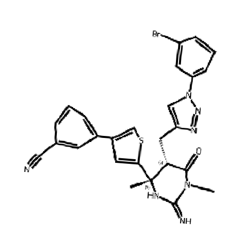 CN1C(=N)N[C@](C)(c2cc(-c3cccc(C#N)c3)cs2)[C@H](Cc2cn(-c3cccc(Br)c3)nn2)C1=O